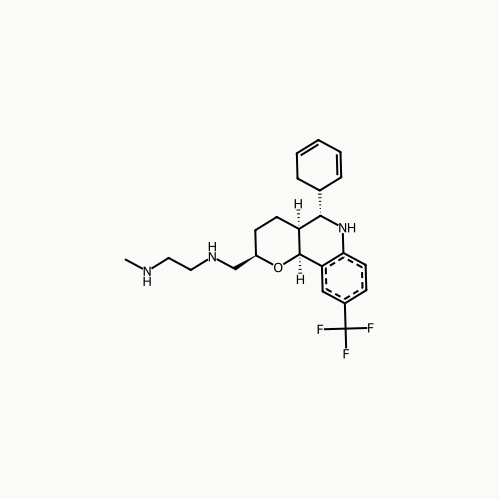 CNCCNC[C@H]1CC[C@@H]2[C@H](O1)c1cc(C(F)(F)F)ccc1N[C@H]2C1C=CC=CC1